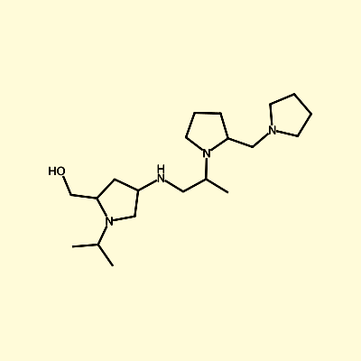 CC(C)N1CC(NCC(C)N2CCCC2CN2CCCC2)CC1CO